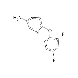 Nc1ccc(Oc2ccc(F)cc2F)nc1